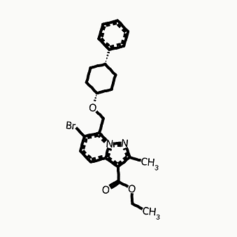 CCOC(=O)c1c(C)nn2c(CO[C@H]3CC[C@@H](c4ccccc4)CC3)c(Br)ccc12